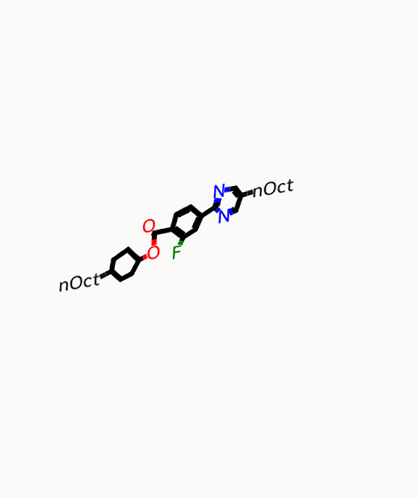 CCCCCCCCc1cnc(-c2ccc(C(=O)OC3CCC(CCCCCCCC)CC3)c(F)c2)nc1